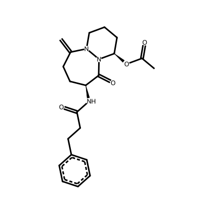 C=C1CC[C@H](NC(=O)CCc2ccccc2)C(=O)N2[C@H](OC(C)=O)CCCN12